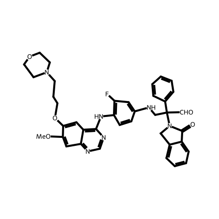 COc1cc2ncnc(Nc3ccc(NCC(C=O)(c4ccccc4)N4Cc5ccccc5C4=O)cc3F)c2cc1OCCCN1CCOCC1